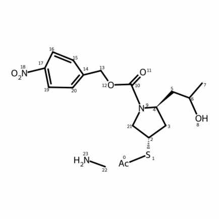 CC(=O)S[C@H]1C[C@H](CC(C)O)N(C(=O)OCc2ccc([N+](=O)[O-])cc2)C1.CN